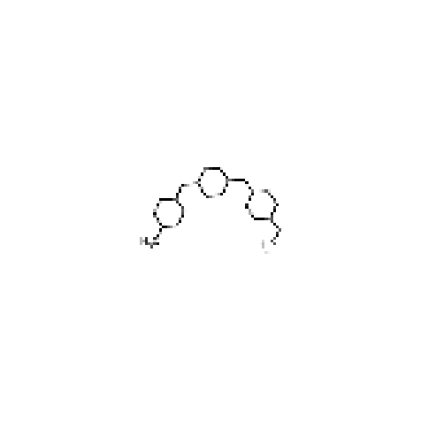 CC1CCC(CC2CCC(CC3CCC(CP)CC3)CC2)CC1